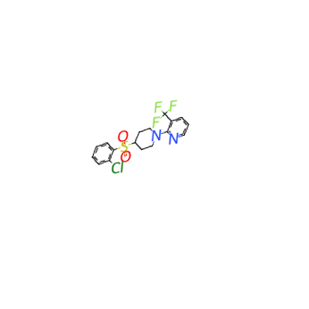 O=S(=O)(c1ccccc1Cl)C1CCN(c2ncccc2C(F)(F)F)CC1